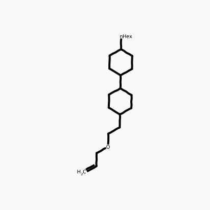 C=CCOCCC1CCC(C2CCC(CCCCCC)CC2)CC1